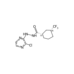 O=C(NNc1nccnc1Cl)[C@H]1CCC[C@@H](C(F)(F)F)C1